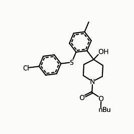 CCCCOC(=O)N1CCC(O)(c2cc(C)ccc2Sc2ccc(Cl)cc2)CC1